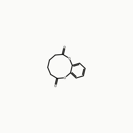 O=C1CCCCC(=O)Oc2ccccc2O1